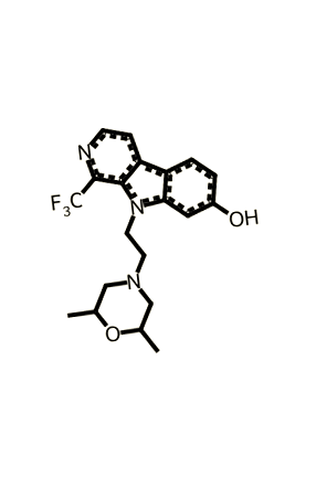 CC1CN(CCn2c3cc(O)ccc3c3ccnc(C(F)(F)F)c32)CC(C)O1